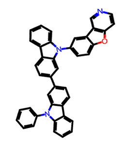 c1ccc(-n2c3ccccc3c3ccc(-c4ccc5c6ccccc6n(-c6ccc7oc8ccncc8c7c6)c5c4)cc32)cc1